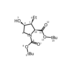 CC[C@@H]1[C@H](O)CN(C(=O)OC(C)(C)C)[C@@H]1C(=O)OC(C)(C)C